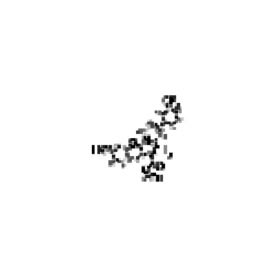 CN(C(=O)OC(C)(C)C)C(Cc1ccc(O)cc1)C(=O)N1CCN(c2cccc(C(F)(F)F)c2)CC1